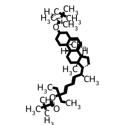 CCC(/C=C/C=C/[C@H](C)[C@H]1CC[C@H]2C3=CC=C4CC(O[Si](C)(C)C(C)(C)C)CC[C@]4(C)[C@H]3CC[C@]12C)(CC)OC(=O)C(C)(C)C